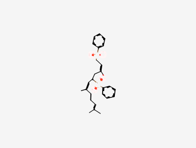 CC(C)=CCCC(C)=CC(CC(C)=CCS(=O)(=O)c1ccccc1)S(=O)(=O)c1ccccc1